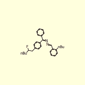 CCCCc1ccccc1C=NN=C(c1ccccc1)c1ccc(CC(F)CCCC)cc1